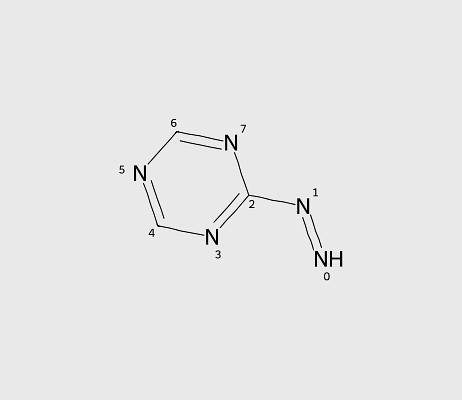 N=Nc1ncncn1